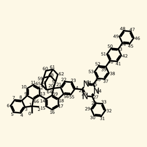 CC1(C)c2ccccc2-c2cccc(-c3cccc4c3C3(c5ccc(-c6nc(-c7ccccc7)nc(-c7ccc(-c8ccc(-c9ccccc9)cc8)cc7)n6)cc5-4)C4CC5CC(C4)CC3C5)c21